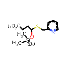 CC(C)(C)[Si](C)(C)OC(CCC(=O)O)SCc1ccccn1